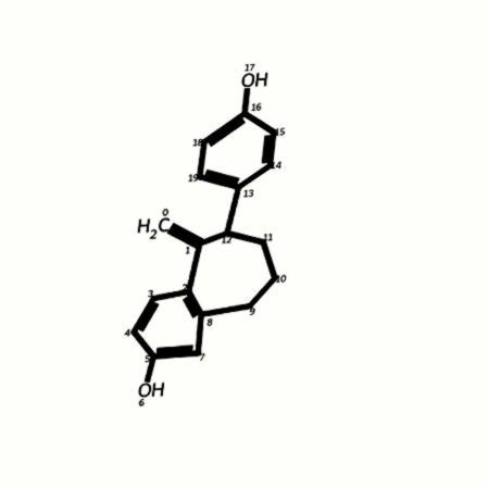 C=C1c2ccc(O)cc2CCCC1c1ccc(O)cc1